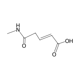 CNC(=O)CC=CC(=O)O